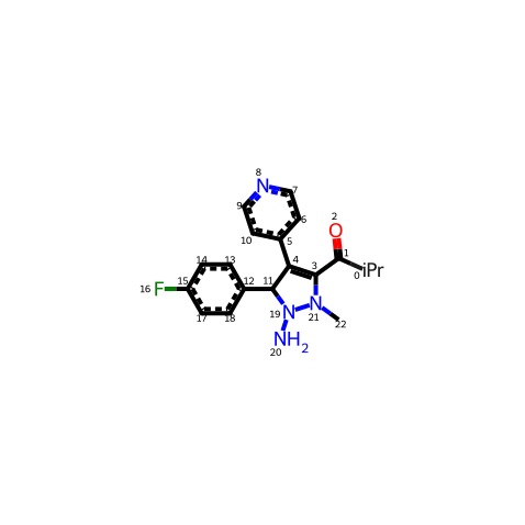 CC(C)C(=O)C1=C(c2ccncc2)C(c2ccc(F)cc2)N(N)N1C